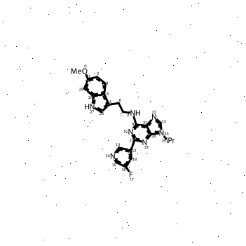 COc1ccc2c(CCNc3nc(-c4cncc(F)c4)nc4c3ncn4C(C)C)c[nH]c2c1